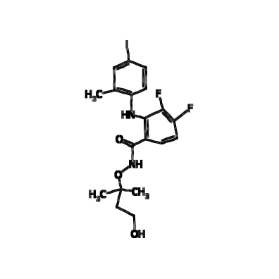 Cc1cc(I)ccc1Nc1c(C(=O)NOC(C)(C)CCO)ccc(F)c1F